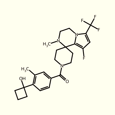 Cc1cc(C(=O)N2CCC3(CC2)c2c(F)cc(C(F)(F)F)n2CCN3C)ccc1C1(O)CCC1